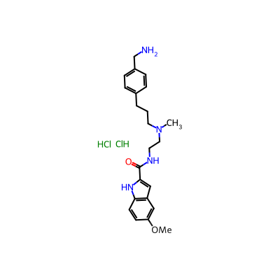 COc1ccc2[nH]c(C(=O)NCCN(C)CCCc3ccc(CN)cc3)cc2c1.Cl.Cl